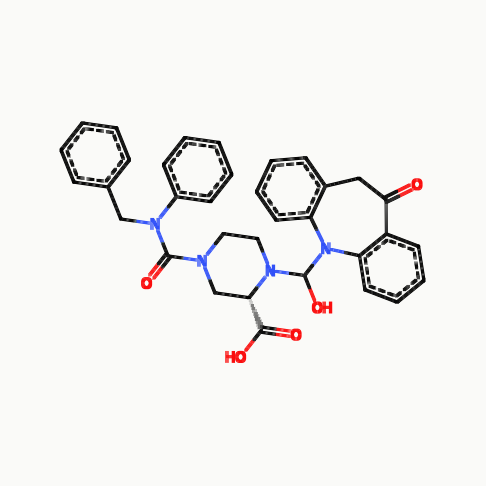 O=C1Cc2ccccc2N(C(O)N2CCN(C(=O)N(Cc3ccccc3)c3ccccc3)C[C@H]2C(=O)O)c2ccccc21